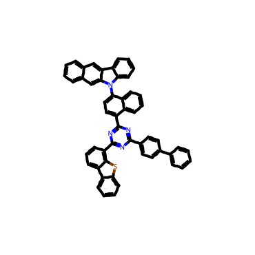 c1ccc(-c2ccc(-c3nc(-c4ccc(-n5c6ccccc6c6cc7ccccc7cc65)c5ccccc45)nc(-c4cccc5c4sc4ccccc45)n3)cc2)cc1